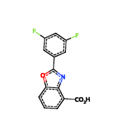 O=C(O)c1cccc2oc(-c3cc(F)cc(F)c3)nc12